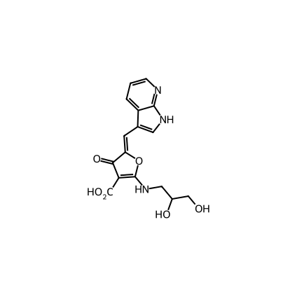 O=C(O)C1=C(NCC(O)CO)OC(=Cc2c[nH]c3ncccc23)C1=O